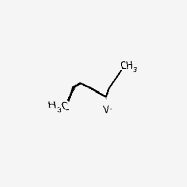 C[CH]CC.[V]